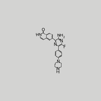 Nc1nc(F)c(-c2ccc(N3CCNCC3)cc2)nc1-c1ccc2c(=O)[nH]ccc2c1